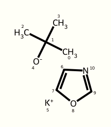 CC(C)(C)[O-].[K+].c1cocn1